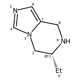 CC[C@@H]1Cn2cncc2CN1